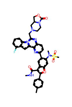 CNC(=O)c1c(-c2ccc(C)cc2)oc2cc(N(C)S(C)(=O)=O)c(-c3ccc4nc(CN5CCN6C(=O)OCC6C5)n5c6cccc(F)c6cc5c4n3)cc12